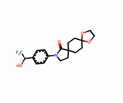 O=C1N(c2ccc([C@@H](O)C(F)(F)F)cc2)CCC12CCC1(CC2)OCCO1